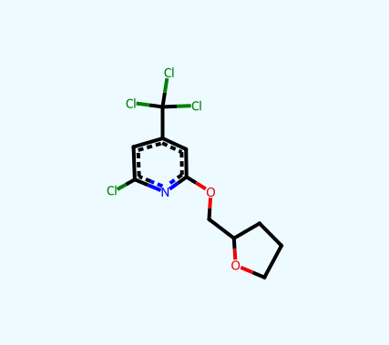 Clc1cc(C(Cl)(Cl)Cl)cc(OCC2CCCO2)n1